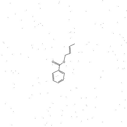 C/C=C/COC(=O)c1ccccc1